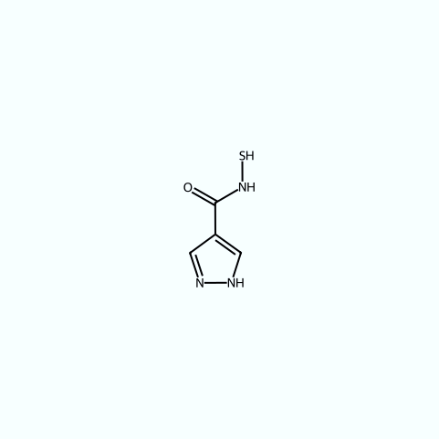 O=C(NS)c1cn[nH]c1